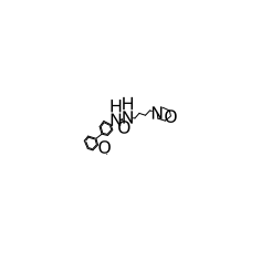 COc1ccccc1-c1ccc(NC(=O)NCCCCN2CCOCC2)cc1